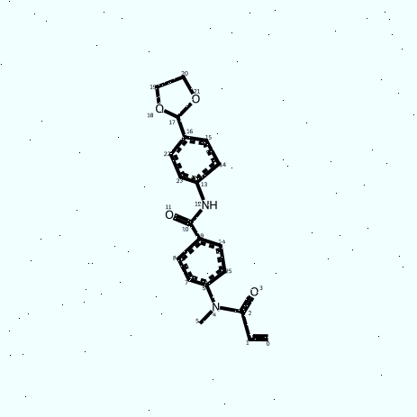 C=CC(=O)N(C)c1ccc(C(=O)Nc2ccc(C3OCCO3)cc2)cc1